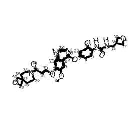 COc1cc2c(Oc3ccc(NC(=O)NCC4COC4)c(Cl)c3)ncnc2cc1OCCC(=O)N1CCC2(CC1)COC2